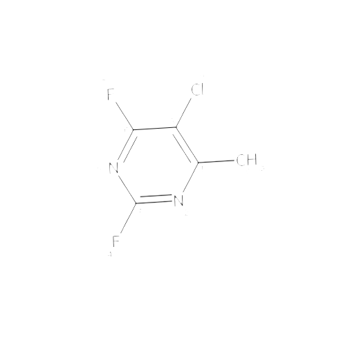 Cc1nc(F)nc(F)c1Cl